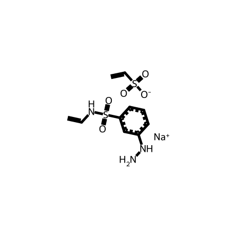 C=CNS(=O)(=O)c1cccc(NN)c1.C=CS(=O)(=O)[O-].[Na+]